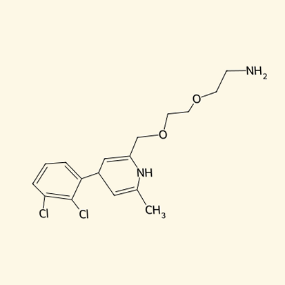 CC1=CC(c2cccc(Cl)c2Cl)C=C(COCCOCCN)N1